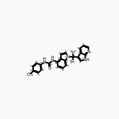 [2H]C([2H])(c1c[nH]c2ncccc12)n1ccc2c(NC(=O)Nc3ccc(Cl)cc3)cccc21